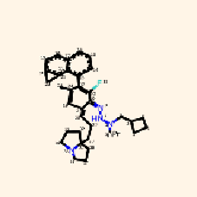 CCCN(CC1CCC1)N/N=C1/C(F)=C(c2cccc3ccc4c(c23)C4)C(C)=C/C1=C/CCC12CCCN1CCC2